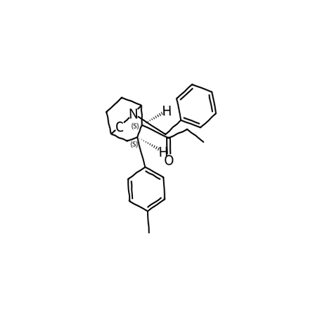 CCC(=O)[C@@H]1C2CCC(C[C@@H]1c1ccc(C)cc1)CN2Cc1ccccc1